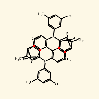 Cc1cc(C)cc(P(c2cc(C)cc(C)c2)c2ccc3c(c2-c2c(P(c4cc(C)cc(C)c4)c4cc(C)cc(C)c4)ccc4c2OC(F)(F)O4)OC(F)(F)O3)c1